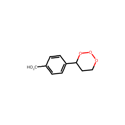 O=C(O)c1ccc(C2CCOOO2)cc1